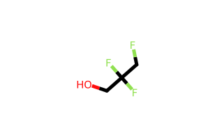 OCC(F)(F)CF